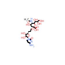 CC(=O)N[C@H]1C([C@H](O)[C@H](O)CO)O[C@](OCCC[C@H]2O[C@@H](n3ccc(N)nc3=O)C(O)[C@H]2O)(C(=O)O)C[C@H]1O